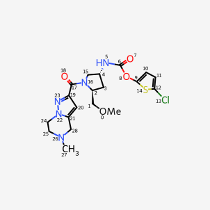 COC[C@@H]1C[C@@H](NC(=O)Oc2ccc(Cl)s2)CN1C(=O)c1cc2n(n1)CCN(C)C2